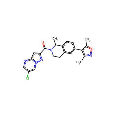 Cc1noc(C)c1-c1ccc2c(c1)CCN(C(=O)c1cc3ncc(Cl)cn3n1)C2C